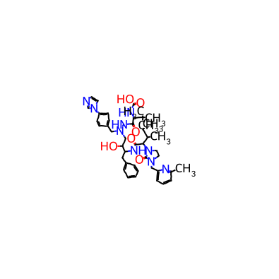 CCC(C)C(C(=O)NC(Cc1ccccc1)C(O)CN(Cc1ccc(-n2ccnc2)cc1)NC(=O)C(NC(=O)O)C(C)(C)C)N1CCN(Cc2cccc(C)n2)C1=O